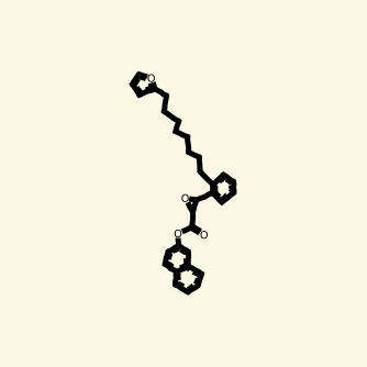 O=C(Oc1ccc2ccccc2c1)C1OC1c1ccccc1CCCCCCCCc1ccco1